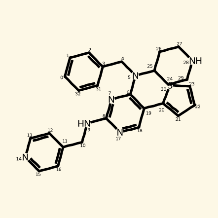 c1ccc(CN(c2nc(NCc3ccncc3)ncc2-c2cccs2)C2CCNCC2)cc1